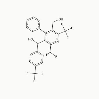 OCc1c(C(F)(F)F)nc(C(F)F)c(C(O)c2ccc(C(F)(F)F)cc2)c1-c1ccccc1